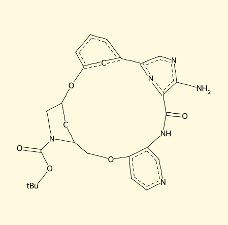 CC(C)(C)OC(=O)N1CC2CC1COc1ccncc1NC(=O)c1nc(cnc1N)-c1cccc(c1)O2